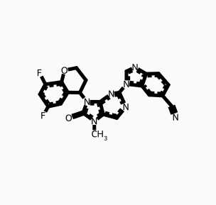 Cn1c(=O)n(C2CCOc3c(F)cc(F)cc32)c2nc(-n3cnc4ccc(C#N)cc43)ncc21